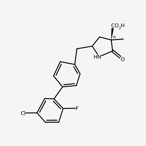 C[C@@]1(C(=O)O)CC(Cc2ccc(-c3cc(Cl)ccc3F)cc2)NC1=O